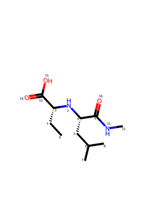 CC[C@@H](N[C@@H](CC(C)C)C(=O)NC)C(=O)O